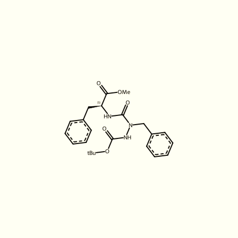 COC(=O)[C@H](Cc1ccccc1)NC(=O)N(Cc1ccccc1)NC(=O)OC(C)(C)C